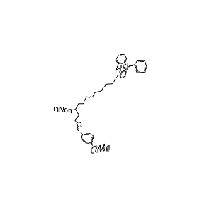 CCCCCCCCCC(CCCCCCCCCO[SiH](c1ccccc1)c1ccccc1)CCOCc1ccc(OC)cc1